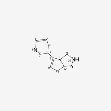 C1=C(c2cccnc2)C2CNCC2C1